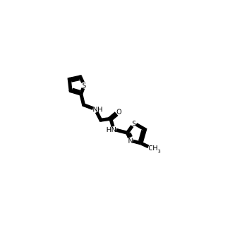 Cc1csc(NC(=O)CNCc2cccs2)n1